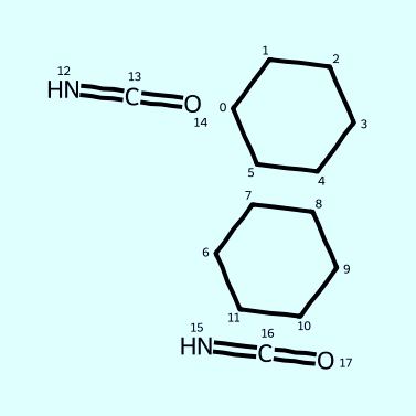 C1CCCCC1.C1CCCCC1.N=C=O.N=C=O